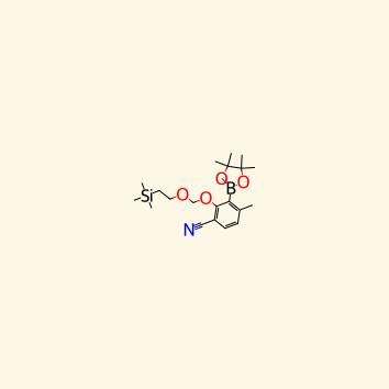 Cc1ccc(C#N)c(OCOCC[Si](C)(C)C)c1B1OC(C)(C)C(C)(C)O1